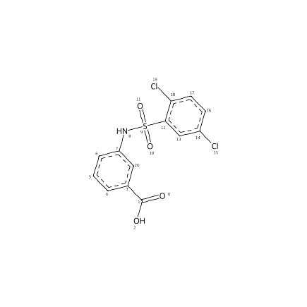 O=C(O)c1cccc(NS(=O)(=O)c2cc(Cl)ccc2Cl)c1